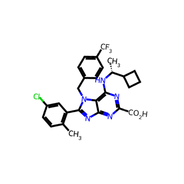 Cc1ccc(Cl)cc1-c1nc2nc(C(=O)O)nc(N[C@H](C)C3CCC3)c2n1Cc1ccc(C(F)(F)F)cc1